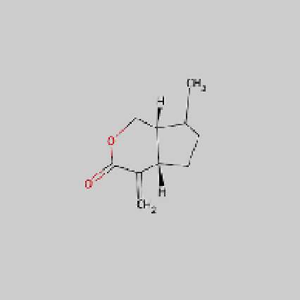 C=C1C(=O)OC[C@@H]2C(C)CC[C@H]12